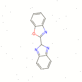 c1ccc2c(c1)=NC(c1nc3ccccc3o1)N=2